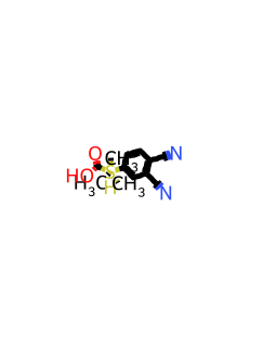 C[SH](C)(C)(C(=O)O)c1ccc(C#N)c(C#N)c1